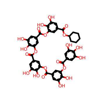 O=C(Oc1cc(C(=O)Oc2cc(C(=O)Oc3cc(C(=O)Oc4cc(C(=O)OC5CCCCC5)cc(O)c4O)cc(O)c3O)cc(O)c2O)cc(O)c1O)c1cc(O)c(O)c(O)c1